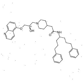 O=C(CC1CCN(C[C@@H](O)COc2cccc3ncccc23)CC1)NC(CCCc1ccccc1)CCCc1ccccc1